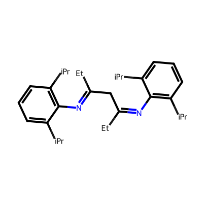 CCC(CC(CC)=Nc1c(C(C)C)cccc1C(C)C)=Nc1c(C(C)C)cccc1C(C)C